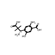 CC(C)(C(=O)O)[C@@H](N)c1cc(N)c(C(=O)O)cc1O